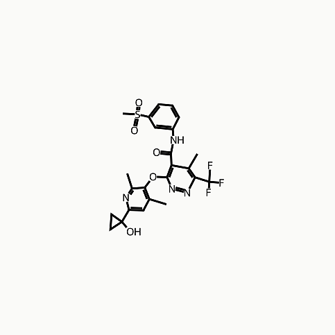 Cc1cc(C2(O)CC2)nc(C)c1Oc1nnc(C(F)(F)F)c(C)c1C(=O)Nc1cccc(S(C)(=O)=O)c1